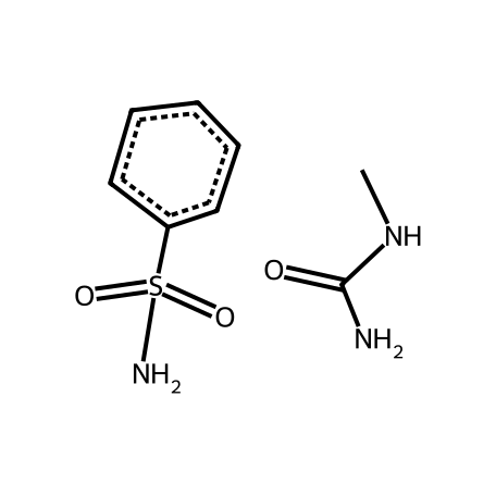 CNC(N)=O.NS(=O)(=O)c1ccccc1